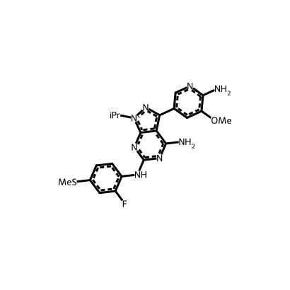 COc1cc(-c2nn(C(C)C)c3nc(Nc4ccc(SC)cc4F)nc(N)c23)cnc1N